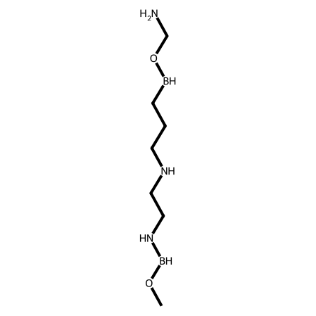 COBNCCNCCCBOCN